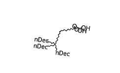 CCCCCCCCCCCCCCC(CCCCCCC/C=C\CCCCCCCC(=O)OCC(O)CO)(CCCCCCCCCCCCCC)CCCCCCCCCCCCCC